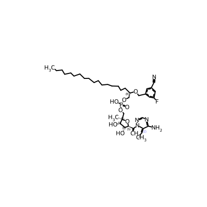 C=C([C@@H]1O[C@](C)(COP(=O)(O)OC[C@@H](CCCCCCCCCCCCCCCCC)OCc2cc(F)cc(C#N)c2)[C@@H](O)[C@H]1O)N1N=CN=C(N)/C1=C/C